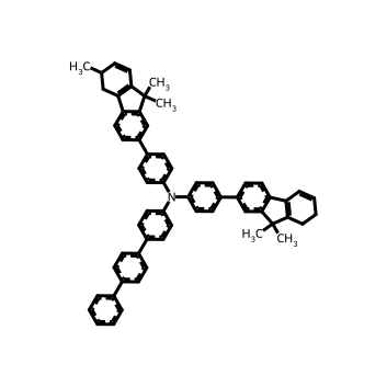 CC1C=CC2=C(C1)c1ccc(-c3ccc(N(c4ccc(-c5ccc(-c6ccccc6)cc5)cc4)c4ccc(-c5ccc6c(c5)C(C)(C)C5=C6C=CCC5)cc4)cc3)cc1C2(C)C